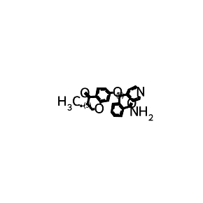 CC[C@H]1COc2cc(O[C@H](c3ccncc3)c3ccccc3C(N)=O)ccc2C1=O